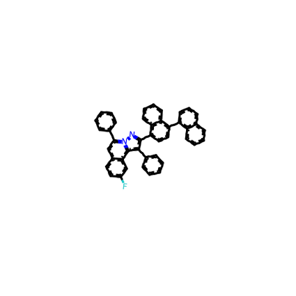 Fc1ccc2cc(-c3ccccc3)n3nc(-c4ccc(-c5cccc6ccccc56)c5ccccc45)c(-c4ccccc4)c3c2c1